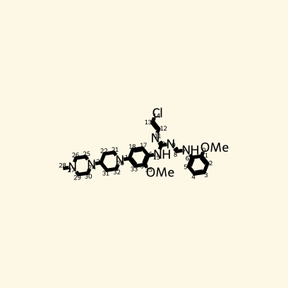 COc1ccccc1N/C=N/C(=N\C=C\Cl)Nc1ccc(N2CCC(N3CCN(C)CC3)CC2)cc1OC